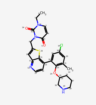 CCn1ccc(=O)n(Cc2cc3nccc(-c4cc(Cl)cc(C)c4O[C@H]4CCCNC4)c3s2)c1=O